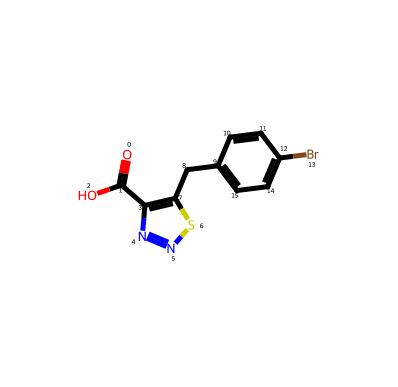 O=C(O)c1nnsc1Cc1ccc(Br)cc1